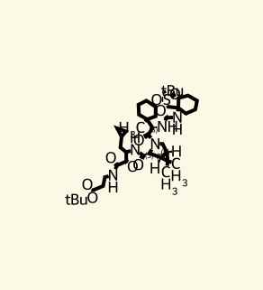 CC(C)(C)OC(=O)CCNC(=O)C(=O)C(CC1CC1)NC(=O)[C@@H]1[C@@H]2[C@H](CN1C(=O)[C@@H](NC(=O)NC1(CS(=O)(=O)C(C)(C)C)CCCCC1)C1(C)CCCCC1)C2(C)C